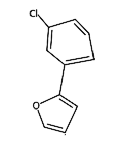 Clc1cccc(-c2c[c]co2)c1